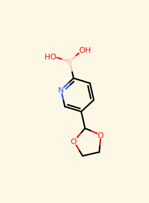 OB(O)c1ccc(C2OCCO2)cn1